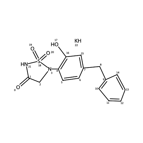 O=C1CN(c2ccc(Cc3ccccc3)cc2O)S(=O)(=O)N1.[KH]